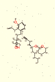 C=CCc1c(OC)cccc1[C@H](C#CCC[C@H](CCCCC)OC1CCCCO1)CC(C)(C)[Si](C)(C)O